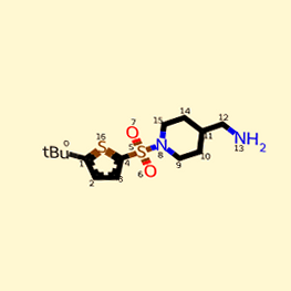 CC(C)(C)c1ccc(S(=O)(=O)N2CCC(CN)CC2)s1